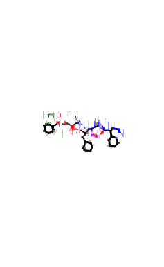 CC(C)[C@H](NC(=O)c1ccnc2ccccc12)C1=NOC(Cc2ccccc2)(C(=O)N[C@@H](CC(=O)O)C(=O)COC(=O)c2c(Cl)cccc2Cl)C1